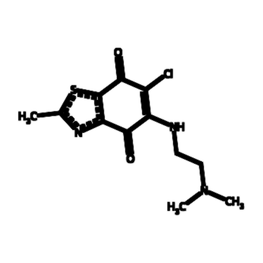 Cc1nc2c(s1)C(=O)C(Cl)=C(NCCN(C)C)C2=O